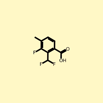 Cc1ccc(C(=O)O)c(C(F)F)c1F